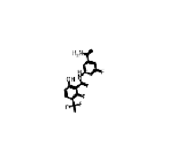 C=C(N)c1cc(F)cc(NC(=C)c2c(O)ccc(C(C)(F)F)c2F)c1